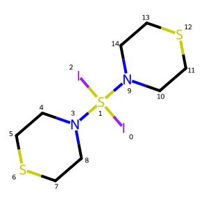 IS(I)(N1CCSCC1)N1CCSCC1